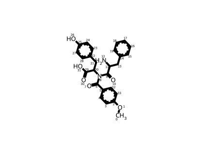 COc1ccc(C(=O)N(C(=O)C(N)Cc2ccccc2)C(Cc2ccc(O)cc2)C(=O)O)cc1